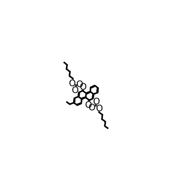 CCCCCCOC(=O)OC1=c2ccccc2=C2C(=O)C(OC(=O)OCCCCCC)=c3cc(CC)ccc3=C2C1=O